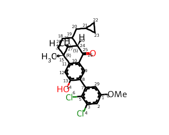 COc1cc(Cl)c(Cl)c(-c2cc3c(cc2O)[C@]2(C)CCC(CC4CC4)[C@H](C3=O)[C@@H]2C)c1